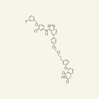 O=C1Cc2cccc(Oc3cccc(CCCOCCOc4ccc(-c5ccc6ncnc(Nc7ccc(OCc8cccc(F)c8)c(Cl)c7)c6c5)cc4)c3)c2C(=O)N1